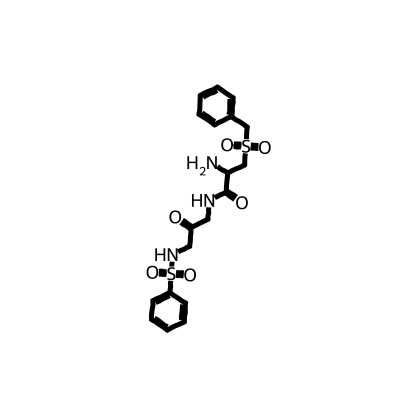 NC(CS(=O)(=O)Cc1ccccc1)C(=O)NCC(=O)CNS(=O)(=O)c1ccccc1